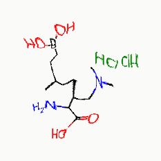 CC(CCB(O)O)CC(CN(C)C)C(N)C(=O)O.Cl.Cl